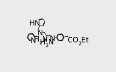 CCOC(=O)Cc1ccc(N(N)/C=C(\N)CN(Cc2ccccn2)CC2C=CC=CN2)cc1